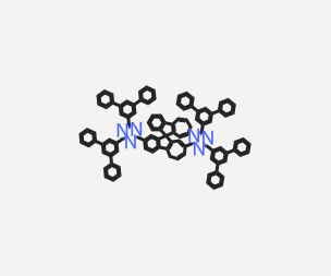 C1=CC2=C(C=CC1)C1(C3=C(CC=CC(c4nc(-c5cc(-c6ccccc6)cc(-c6ccccc6)c5)nc(-c5cc(-c6ccccc6)cc(-c6ccccc6)c5)n4)=C3)c3ccc(-c4nc(-c5cc(-c6ccccc6)cc(-c6ccccc6)c5)nc(-c5cc(-c6ccccc6)cc(-c6ccccc6)c5)n4)cc31)c1ccccc12